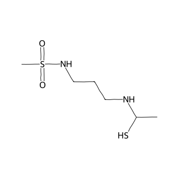 CC(S)NCCCNS(C)(=O)=O